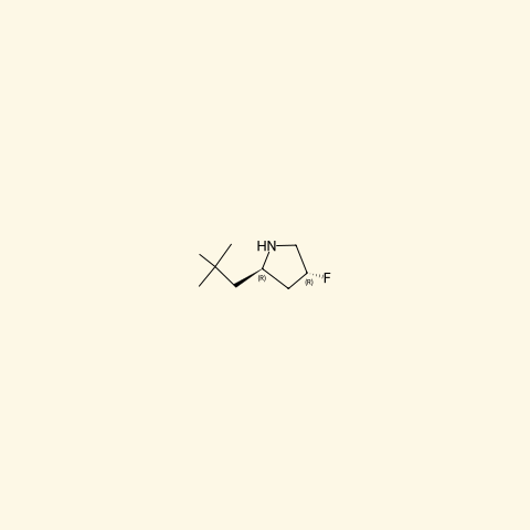 CC(C)(C)C[C@@H]1C[C@@H](F)CN1